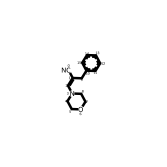 N#CC(=CN1CCOCC1)Cc1ccccc1